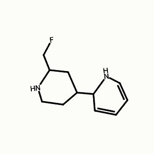 FCC1CC(C2C=CC=CN2)CCN1